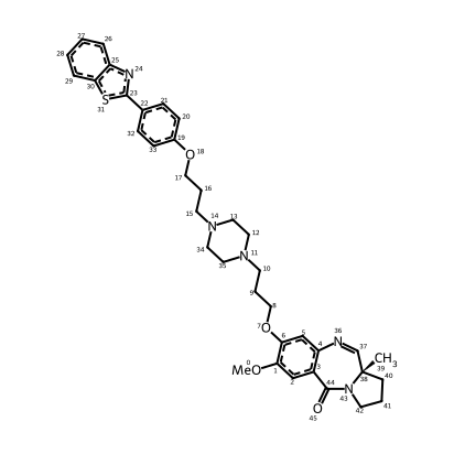 COc1cc2c(cc1OCCCN1CCN(CCCOc3ccc(-c4nc5ccccc5s4)cc3)CC1)N=C[C@]1(C)CCCN1C2=O